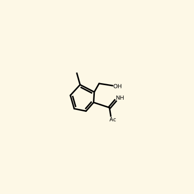 CC(=O)C(=N)c1cccc(C)c1CO